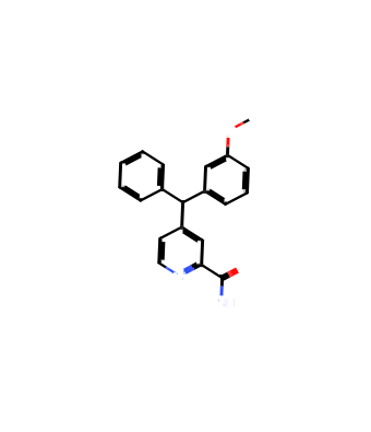 COc1cccc(C(c2ccccc2)c2ccnc(C(N)=O)c2)c1